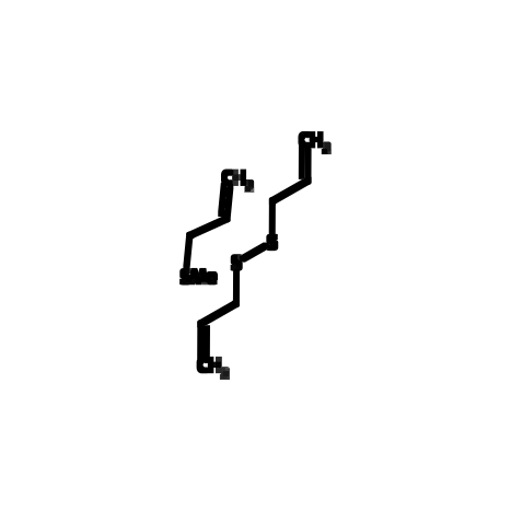 C=CCSC.C=CCSSCC=C